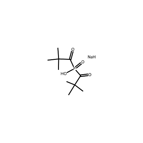 CC(C)(C)C(=O)P(=O)(O)C(=O)C(C)(C)C.[NaH]